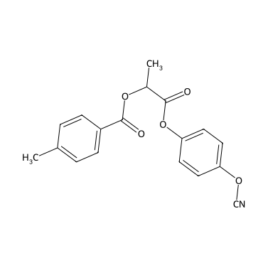 Cc1ccc(C(=O)OC(C)C(=O)Oc2ccc(OC#N)cc2)cc1